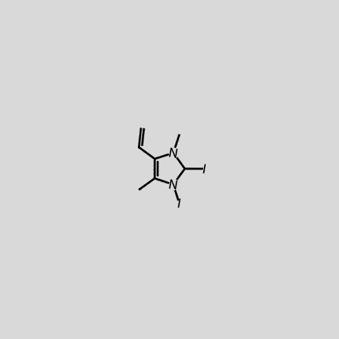 C=CC1=C(C)N(I)C(I)N1C